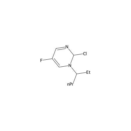 CCCC(CC)N1C=C(F)C=NC1Cl